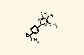 Cc1nc(-c2ccc(C3(C)CC3)cc2)nc(C)c1C(C)C